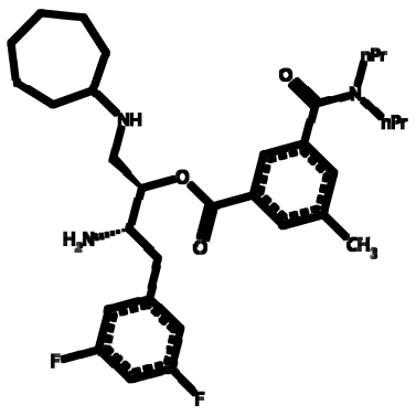 CCCN(CCC)C(=O)c1cc(C)cc(C(=O)O[C@H](CNC2CCCCCC2)[C@@H](N)Cc2cc(F)cc(F)c2)c1